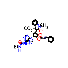 CCNC(=O)Nc1ncnc2c1ncn2C1CC(CC(=O)N(C)c2ccccc2C(=O)O)C2O[C@H](/C=C/c3ccccc3)OC21